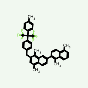 Cc1ccc(C(c2ccc(Cc3cc(C)c4ccc(-c5ccc6c(C)cccc6c5C)cc4c3C)cc2)(C(F)(F)F)C(F)(F)F)cc1